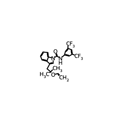 C=COC(C)(C)Cc1cn(C(=O)Nc2cc(C(F)(F)F)cc(C(F)(F)F)c2)c2ccccc12